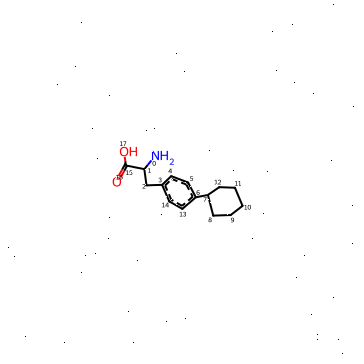 NC(Cc1ccc(C2CCCCC2)cc1)C(=O)O